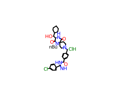 CCCCN1C(=O)[C@@H]([C@H](O)C2CCCCC2)NC(=O)C12CCN(Cc1ccc(C(=O)NC(=N)c3ccc(Cl)cc3)cc1)CC2.Cl